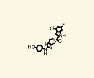 O=C(c1cc2c(Cl)cc(F)cc2[nH]1)N1CCc2nc(NC3CCC(O)CC3)sc2C1